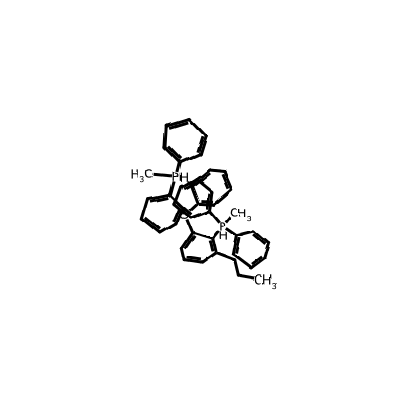 CCCc1cccc(Oc2ccccc2[PH](C)(c2ccccc2)c2ccccc2)c1[PH](C)(c1ccccc1)c1ccccc1